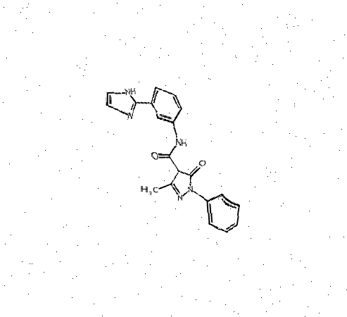 CC1=NN(c2ccccc2)C(=O)C1C(=O)Nc1cccc(-c2ncc[nH]2)c1